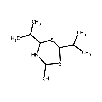 CC1NC(C(C)C)SC(C(C)C)S1